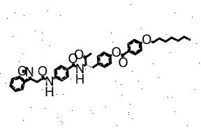 CCCCCCCOc1ccc(C(=O)Oc2ccc(C[C@H](NC(=O)c3ccc(NC(=O)Cc4noc5ccccc45)cc3)C(C)=O)cc2)cc1